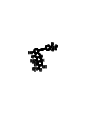 CS(=O)(=O)Nc1ccc(C#Cc2ccc(O)c3c2C[C@H]2C[C@H]4CC(O)=C(C(N)=O)C(=O)[C@@]4(O)C(O)=C2C3=O)cc1